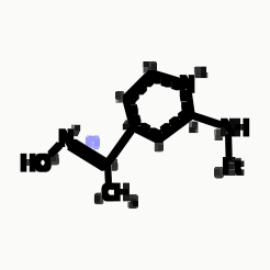 CCNc1cc(/C(C)=N/O)ccn1